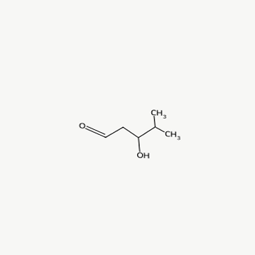 CC(C)C(O)CC=O